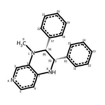 CN1c2cnccc2N[C@@H](c2ccccc2)[C@H]1c1ccccc1